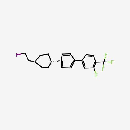 Fc1cc(-c2ccc([C@H]3CC[C@H](CCI)CC3)cc2)ccc1C(F)(F)F